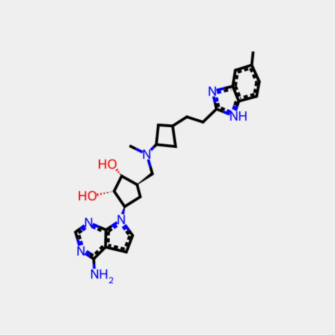 Cc1ccc2[nH]c(CCC3CC(N(C)C[C@H]4C[C@@H](n5ccc6c(N)ncnc65)[C@H](O)[C@@H]4O)C3)nc2c1